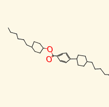 CCCCCCC1CCC(OC(=O)c2ccc(C3CCC(CCCCCC)CC3)cc2)CC1